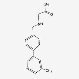 Cc1cncc(-c2ccc(CNCC(=O)O)cc2)c1